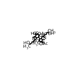 CC(=O)O[C@]1(C)C(=O)c2cnc(CCC[C@H](C)O)cc2C(C2=C(O)[C@](C)(OC(C)=O)C(=O)c3cnc(CCC[C@H](C)O)cc32)=C1O